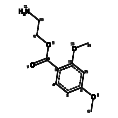 COc1ccc(C(=O)OCCN)c(OC)c1